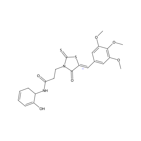 COc1cc(/C=C2\SC(=S)N(CCC(=O)NC3CC=CC=C3O)C2=O)cc(OC)c1OC